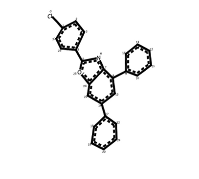 Clc1ccc(-c2nc3c(-c4ccccc4)cc(-c4ccccc4)cc3o2)cc1